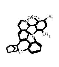 Cc1cc(C)c2c(c1C)c1c3c(cc[n+]1C)cc(C1CC4CCC1C4)c1c4c(C)cccc4n2c13